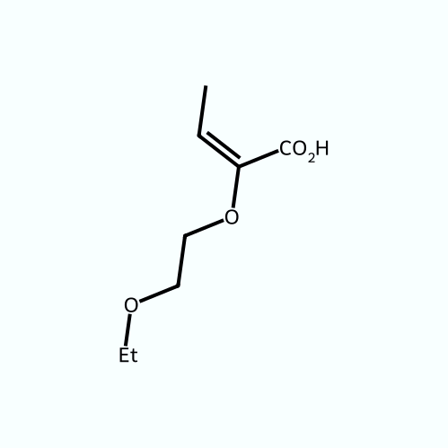 CC=C(OCCOCC)C(=O)O